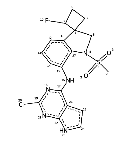 CS(=O)(=O)N1CC2(CCC2F)c2cccc(Nc3nc(Cl)nc4[nH]ccc34)c21